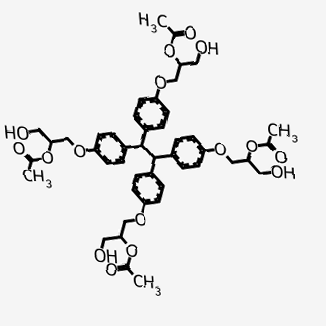 CC(=O)OC(CO)COc1ccc(C(c2ccc(OCC(CO)OC(C)=O)cc2)C(c2ccc(OCC(CO)OC(C)=O)cc2)c2ccc(OCC(CO)OC(C)=O)cc2)cc1